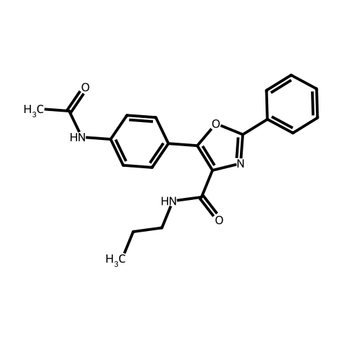 CCCNC(=O)c1nc(-c2ccccc2)oc1-c1ccc(NC(C)=O)cc1